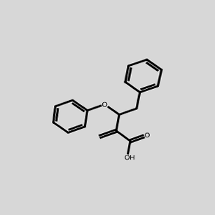 C=C(C(=O)O)C(Cc1ccccc1)Oc1ccccc1